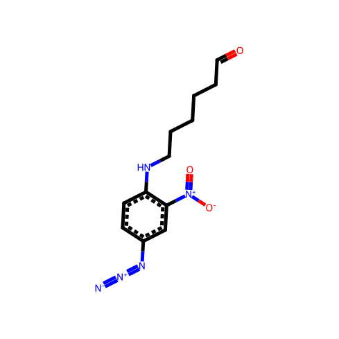 [N-]=[N+]=Nc1ccc(NCCCCCC=O)c([N+](=O)[O-])c1